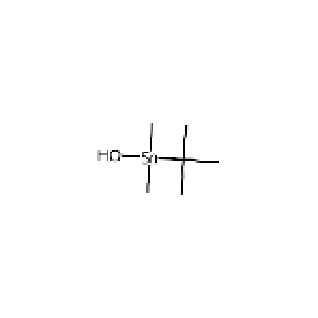 C[C](C)(C)[Sn]([CH3])([CH3])[OH]